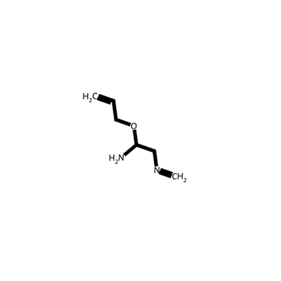 C=CCOC(N)CN=C